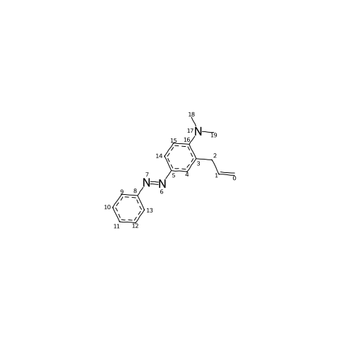 C=CCc1cc(N=Nc2ccccc2)ccc1N(C)C